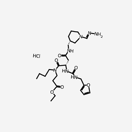 CCCCN(CCC(=O)OCC)C(=O)[C@H](CC(=O)NC[C@@H]1CCCN(C=NN)C1)NC(=O)NCc1ccco1.Cl